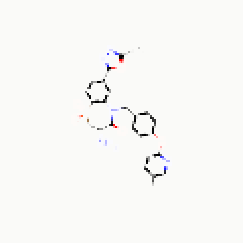 CC(C)(C)c1nnc(-c2ccc3c(c2)N(Cc2ccc(Oc4ccc(C(F)(F)F)cn4)cc2)C(=O)[C@@H](N)CS3(=O)=O)o1